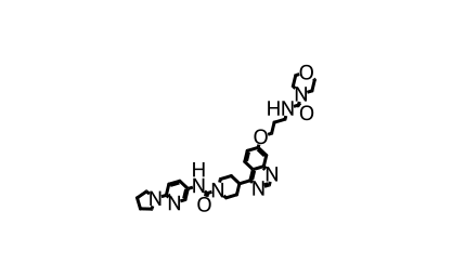 O=C(NCCCOc1ccc2c(C3CCN(C(=O)Nc4ccc(N5CCCC5)nc4)CC3)ncnc2c1)N1CCOCC1